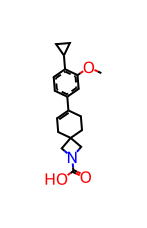 COc1cc(C2=CCC3(CC2)CN(C(=O)O)C3)ccc1C1CC1